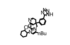 CCCCc1cn(C2CCCCC2C)c(=O)n1CC1(c2cccc(-c3nnn[nH]3)c2)C=CN=CC1